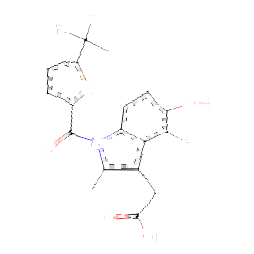 Cc1c(CC(=O)O)c2c(F)c(O)ccc2n1C(=O)c1ccc(C(F)(F)F)s1